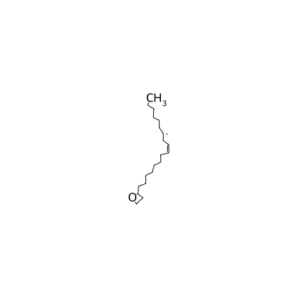 CCCCCC[CH]C/C=C\CCCCCCCC1CCO1